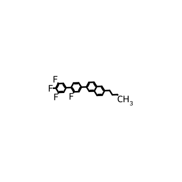 CCCCc1ccc2cc(-c3ccc(-c4cc(F)c(F)c(F)c4)c(F)c3)ccc2c1